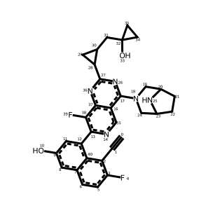 C#Cc1c(F)ccc2cc(O)cc(-c3ncc4c(N5CC6CCC(C5)N6)nc(C5CC5CC5(O)CC5)nc4c3F)c12